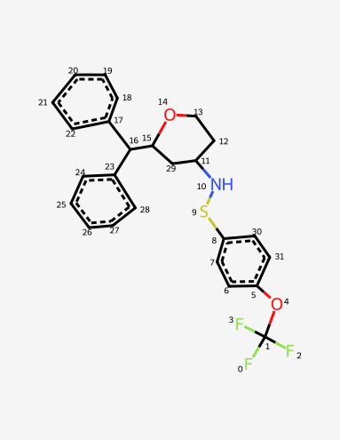 FC(F)(F)Oc1ccc(SNC2CCOC(C(c3ccccc3)c3ccccc3)C2)cc1